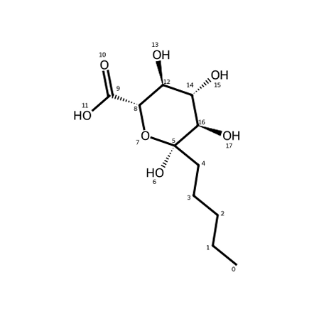 CCCCC[C@@]1(O)O[C@H](C(=O)O)[C@@H](O)[C@H](O)[C@H]1O